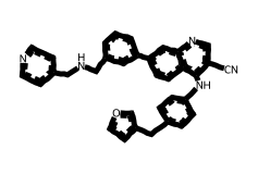 N#Cc1cnc2cc(-c3cccc(CNCc4ccncc4)c3)ccc2c1Nc1ccc(Cc2ccoc2)cc1